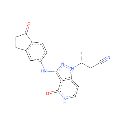 C[C@H](CC#N)n1nc(Nc2ccc3c(c2)CCC3=O)c2c(=O)[nH]ccc21